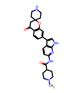 CN1CCC(C(=O)Nc2ccc3c(-c4ccc5c(c4)OC4(CCNCC4)CC5=O)c[nH]c3n2)CC1